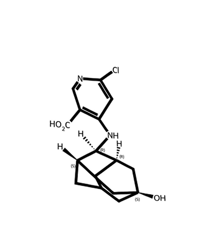 O=C(O)c1cnc(Cl)cc1N[C@H]1[C@@H]2CC3C[C@H]1C[C@@](O)(C3)C2